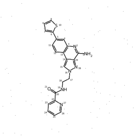 Nc1nc2cc(-c3cccs3)ccc2c2cn(CCNC(=O)c3ccccn3)nc12